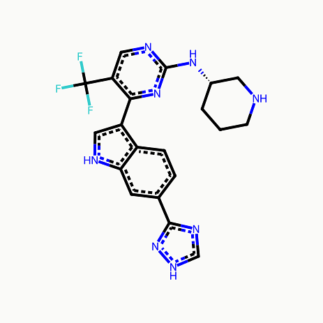 FC(F)(F)c1cnc(N[C@H]2CCCNC2)nc1-c1c[nH]c2cc(-c3nc[nH]n3)ccc12